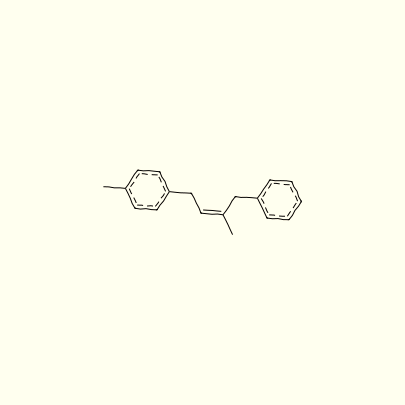 CC(=CCc1ccc(C)cc1)Cc1ccccc1